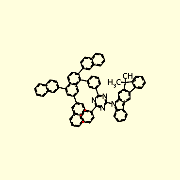 CC1(C)c2ccccc2-c2cc3c4ccccc4n(-c4nc(-c5ccccc5)nc(-c5cccc(-c6c(-c7ccc8ccccc8c7)ccc7c(-c8ccc9ccccc9c8)cc(-c8ccc9ccccc9c8)cc67)c5)n4)c3cc21